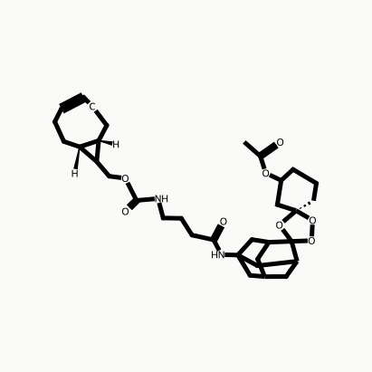 CC(=O)OC1CCC[C@]2(C1)OOC1(O2)C2CC3CC1CC(NC(=O)CCCNC(=O)OCC1[C@H]4CCC#CCC[C@@H]14)(C3)C2